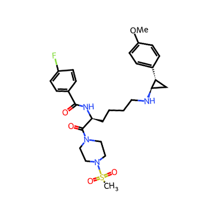 COc1ccc([C@@H]2C[C@H]2NCCCC[C@H](NC(=O)c2ccc(F)cc2)C(=O)N2CCN(S(C)(=O)=O)CC2)cc1